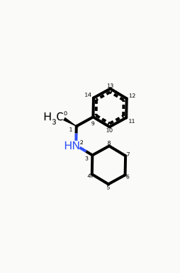 C[C@H](NC1[CH]CCCC1)c1ccccc1